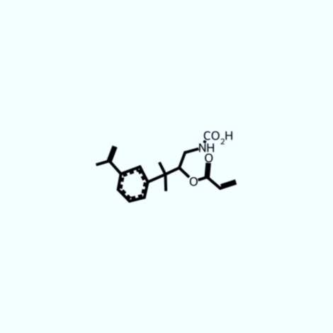 C=CC(=O)OC(CNC(=O)O)C(C)(C)c1cccc(C(=C)C)c1